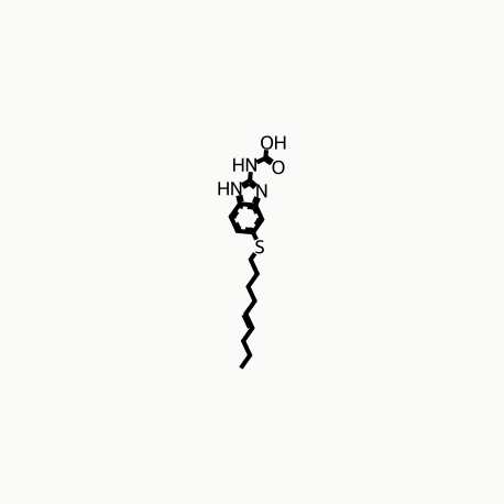 CCC/C=C/CCCCSc1ccc2[nH]c(NC(=O)O)nc2c1